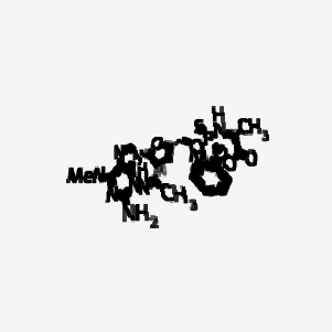 CNc1nc(N)nc2c1ncn2[C@@H]1O[C@H](COP(=S)(N[C@H](C)C(=O)OC)Oc2ccccc2)C[C@@H]1C(C)=N